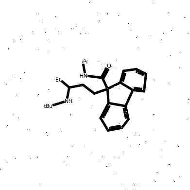 CCC(CCC1(C(=O)NC(C)C)c2ccccc2-c2ccccc21)NC(C)(C)C